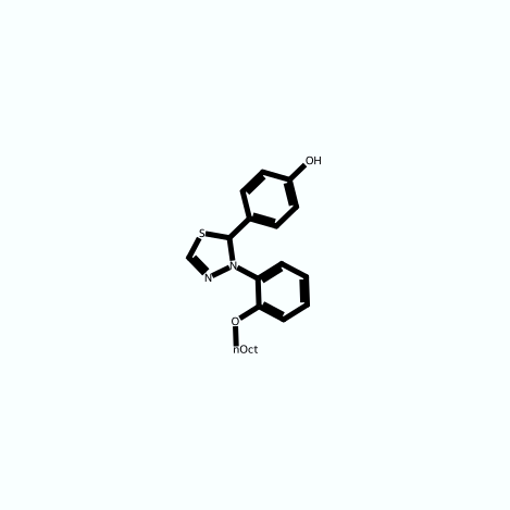 CCCCCCCCOc1ccccc1N1N=CSC1c1ccc(O)cc1